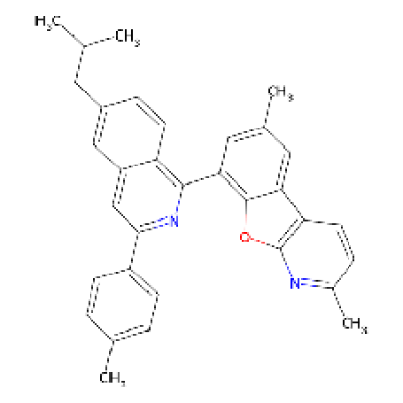 Cc1ccc(-c2cc3cc(CC(C)C)ccc3c(-c3cc(C)cc4c3oc3nc(C)ccc34)n2)cc1